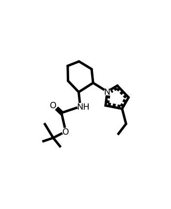 CCc1ccn(C2CCCCC2NC(=O)OC(C)(C)C)c1